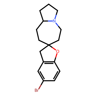 Brc1ccc2c(c1)CC1(CCC3CCCN3CC1)O2